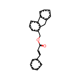 O=C(C=Cc1ccccc1)OCc1cccc2c1Cc1ccccc1-2